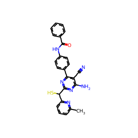 Cc1cccc(C(S)c2nc(N)c(C#N)c(-c3ccc(NC(=O)c4ccccc4)cc3)n2)n1